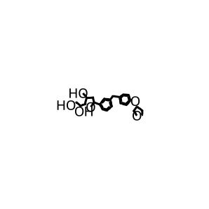 OC[C@@H](O)C1OC(c2cccc(Cc3ccc(OC4CCOC4)cc3)c2)CC1O